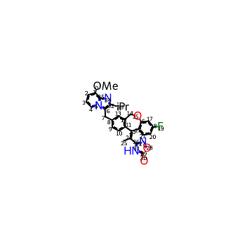 COc1cccn2c(Cc3ccc4c(c3)COc3cc(F)ccc3C4=C(C)c3noc(=O)[nH]3)c(C(C)C)nc12